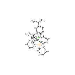 CC(C)c1ccc(C2(Cl)C=CC=CC2(C(C)C)P(C2CCCCC2)C2CCCCC2)c(C(C)C)c1